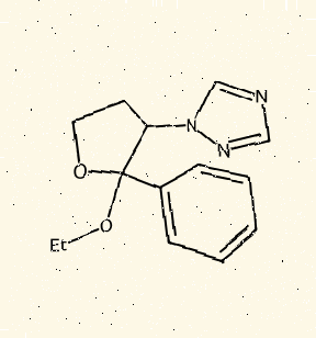 CCOC1(c2ccccc2)OCCC1n1cncn1